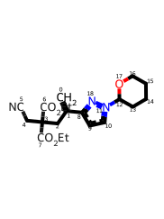 C=C(CC(CC#N)(C(=O)OCC)C(=O)OCC)c1ccn(C2CCCCO2)n1